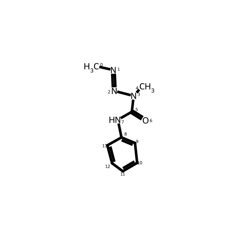 CN=NN(C)C(=O)Nc1ccccc1